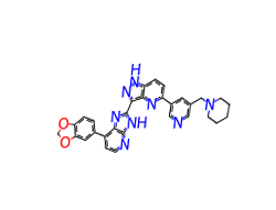 c1cc(-c2ccc3c(c2)OCO3)c2nc(-c3n[nH]c4ccc(-c5cncc(CN6CCCCC6)c5)nc34)[nH]c2n1